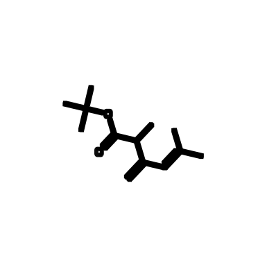 C=C(C=C(C)C)C(C)C(=O)OC(C)(C)C